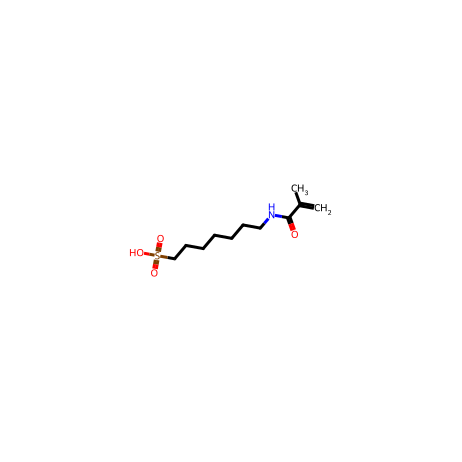 C=C(C)C(=O)NCCCCCCCS(=O)(=O)O